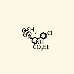 CCOC(=O)C1=CC(=NOS(C)(=O)=O)CC(c2ccc(Cl)cc2)N1